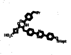 CCCCCCCOc1ccc(-c2cnc(-c3ccc(CC(NC(=O)c4ccc(CC(C)C)cc4)C(=O)N4CC(C(=O)O)C4)cc3)nc2)cc1